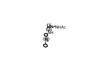 CC(=O)NCCNc1nc(Nc2cccc(S(=O)(=O)N(C)Cc3ccccc3)c2)ncc1C(F)(F)F